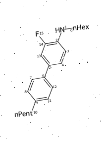 CCCCCCNc1ccc(-c2ccc(CCCCC)cc2)cc1F